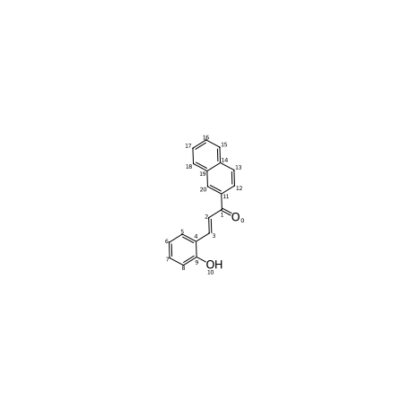 O=C(/C=C/c1ccccc1O)c1ccc2ccccc2c1